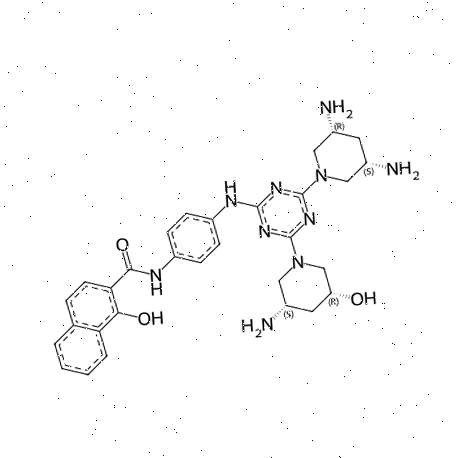 N[C@@H]1C[C@H](N)CN(c2nc(Nc3ccc(NC(=O)c4ccc5ccccc5c4O)cc3)nc(N3C[C@@H](N)C[C@@H](O)C3)n2)C1